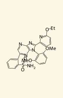 CCOc1cccc(-c2nc3ncc(-c4ccccc4S(N)(=O)=O)nc3n2-c2c(OC)cccc2OC)n1